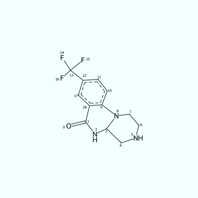 O=C1NC2CNCCN2c2ccc(C(F)(F)F)cc21